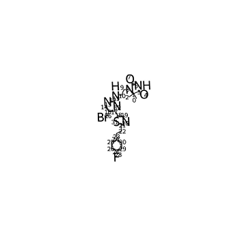 CC1(C)C(=O)NC(=O)N1CCNc1ncc(Br)c(-c2cnc(CCc3ccc(F)cc3)s2)n1